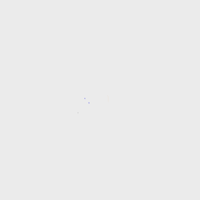 CC(C)(N=C[PH2](c1ccccc1)c1ccccc1)c1ccccc1